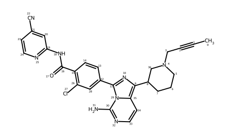 CC#CCN1CCCC(c2nc(-c3ccc(C(=O)Nc4cc(C#N)ccn4)c(Cl)c3)n3c(N)nccc23)C1